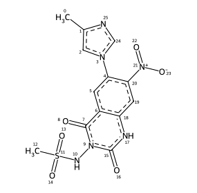 Cc1cn(-c2cc3c(=O)n(NS(C)(=O)=O)c(=O)[nH]c3cc2[N+](=O)[O-])cn1